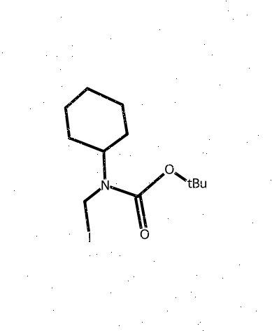 CC(C)(C)OC(=O)N(CI)C1CCCCC1